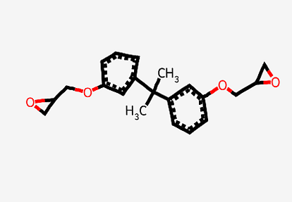 CC(C)(c1cccc(OCC2CO2)c1)c1cccc(OCC2CO2)c1